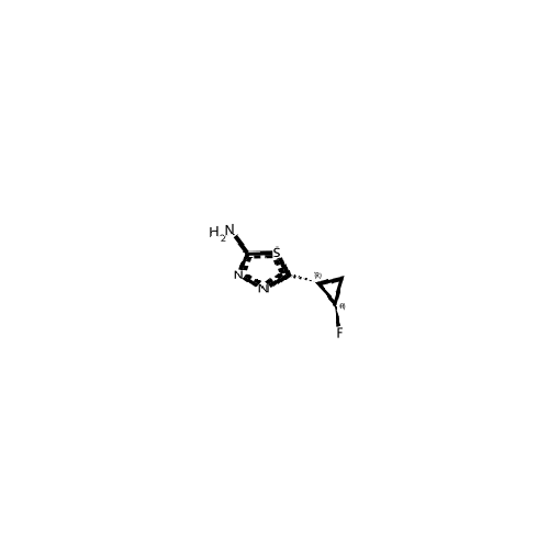 Nc1nnc([C@@H]2C[C@H]2F)s1